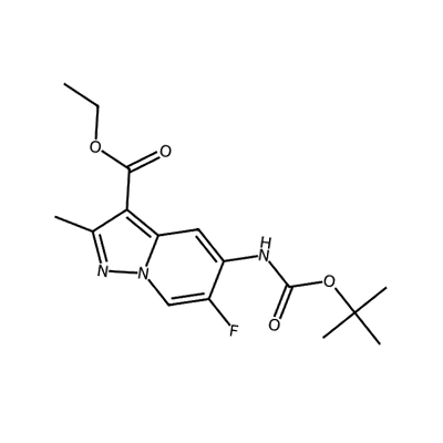 CCOC(=O)c1c(C)nn2cc(F)c(NC(=O)OC(C)(C)C)cc12